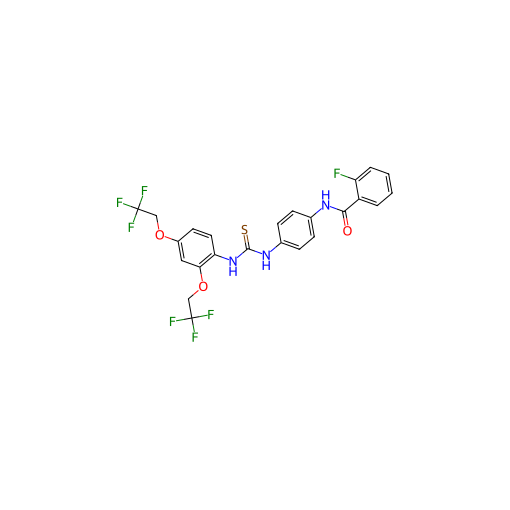 O=C(Nc1ccc(NC(=S)Nc2ccc(OCC(F)(F)F)cc2OCC(F)(F)F)cc1)c1ccccc1F